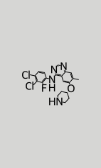 Cc1cc2ncnc(Nc3ccc(Cl)c(Cl)c3F)c2cc1OC1CCNCC1